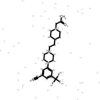 CC(=O)CN1CCC(CCN2CCN(c3cc(C#N)cc(C(F)(F)F)c3)CC2)CC1